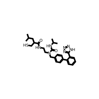 CC(C)CC(CS)C(=O)NCCN(Cc1ccc(-c2ccccc2-c2nnn[nH]2)cc1)C(=O)NC(C)C